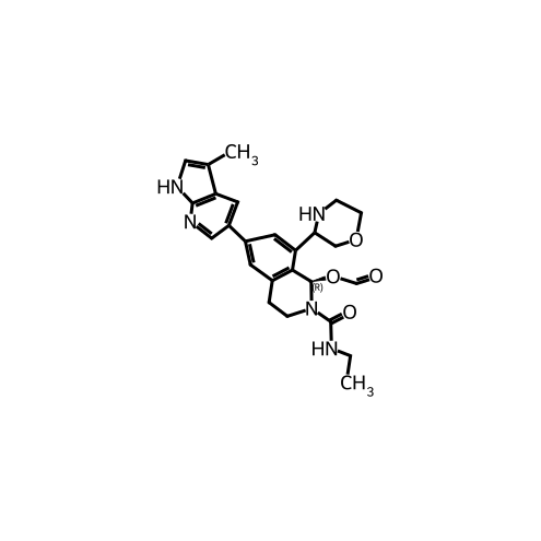 CCNC(=O)N1CCc2cc(-c3cnc4[nH]cc(C)c4c3)cc(C3COCCN3)c2[C@H]1OC=O